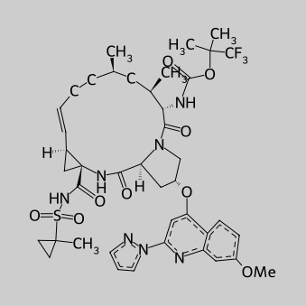 COc1ccc2c(O[C@@H]3C[C@H]4C(=O)N[C@]5(C(=O)NS(=O)(=O)C6(C)CC6)C[C@H]5/C=C\CC[C@@H](C)C[C@@H](C)[C@H](NC(=O)OC(C)(C)C(F)(F)F)C(=O)N4C3)cc(-n3cccn3)nc2c1